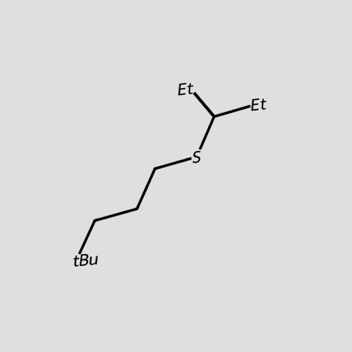 CCC(CC)SCCCC(C)(C)C